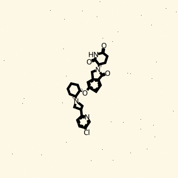 O=C1CC[C@H](N2Cc3cc(O[C@H]4CCCC[C@@H]4N4CC(c5ccc(Cl)cn5)C4)ccc3C2=O)C(=O)N1